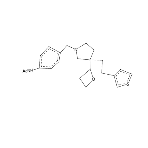 CC(=O)Nc1ccc(CN2CCC(CCc3ccsc3)(C3CCO3)C2)cc1